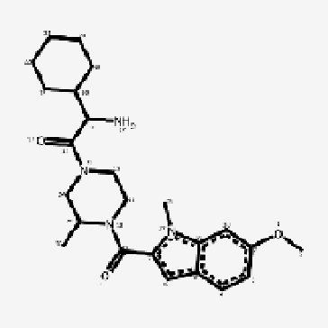 COc1ccc2cc(C(=O)N3CCN(C(=O)C(N)C4CCCCC4)CC3C)n(C)c2c1